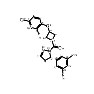 O=C(N1CC(Oc2ccc(Cl)nc2F)C1)N1N=CC[C@H]1c1cc(F)cc(F)c1